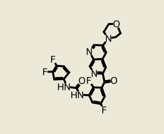 O=C(Nc1ccc(F)c(F)c1)Nc1cc(F)cc(C(=O)c2cc3cc(N4CCOCC4)cnc3cn2)c1F